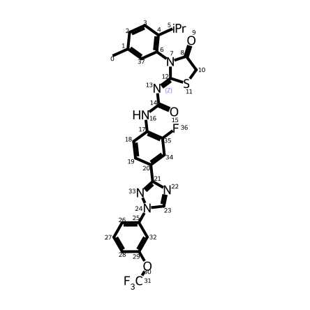 Cc1ccc(C(C)C)c(N2C(=O)CS/C2=N\C(=O)Nc2ccc(-c3ncn(-c4cccc(OC(F)(F)F)c4)n3)cc2F)c1